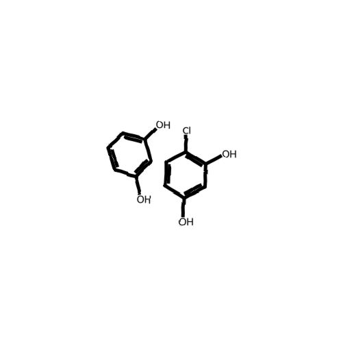 Oc1ccc(Cl)c(O)c1.Oc1cccc(O)c1